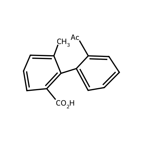 CC(=O)c1ccccc1-c1c(C)cccc1C(=O)O